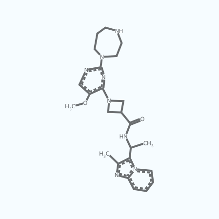 COc1cnc(N2CCCNCC2)nc1N1CC(C(=O)NC(C)c2c(C)nc3ccccn23)C1